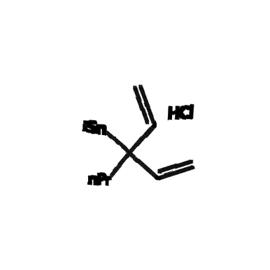 C=C[C]([Sn])(C=C)CCC.Cl